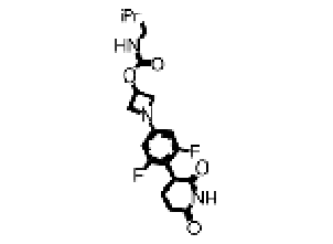 CC(C)CNC(=O)OC1CN(c2cc(F)c(C3CCC(=O)NC3=O)c(F)c2)C1